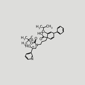 CC(C)OC1=CC(c2ccccc2)C=CC1(CCCN(C[C@H](O)c1cccnc1)C(=O)OC(C)(C)C)C(=O)O